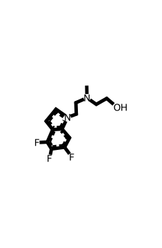 CN(CCO)CCn1ccc2c(F)c(F)c(F)cc21